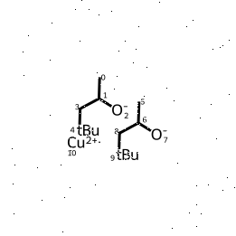 CC([O-])CC(C)(C)C.CC([O-])CC(C)(C)C.[Cu+2]